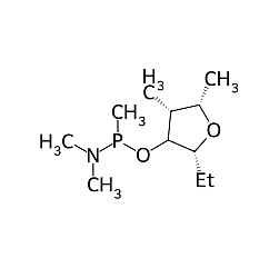 CC[C@H]1O[C@@H](C)[C@@H](C)C1OP(C)N(C)C